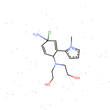 Cn1cccc1C1=CC(N)(Cl)C=CC1N(CCO)CCO